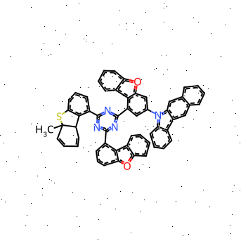 CC12C=CC=CC1c1c(cccc1-c1nc(-c3cccc4oc5ccccc5c34)nc(-c3cc(-n4c5ccccc5c5cc6ccccc6cc54)cc4oc5ccccc5c34)n1)S2